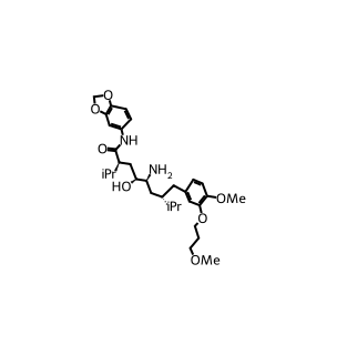 COCCCOc1cc(C[C@@H](C[C@H](N)[C@@H](O)C[C@H](C(=O)Nc2ccc3c(c2)OCO3)C(C)C)C(C)C)ccc1OC